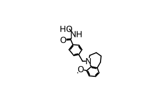 COc1cccc2c1N(Cc1ccc(C(=O)NO)cc1)CCCC2